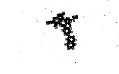 Cc1c(CO)sc2c1C(c1ccc(N3CCc4ccccc4C3)cc1)=N[C@@H](C(C)C(=O)O)c1nnc(C)n1-2